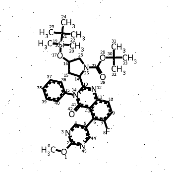 COc1ncc(-c2c(F)ccc3nc(C4CC(O[Si](C)(C)C(C)(C)C)CN4C(=O)OC(C)(C)C)n(-c4ccccc4)c(=O)c23)cn1